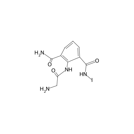 NCC(=O)Nc1c(C(N)=O)cccc1C(=O)NI